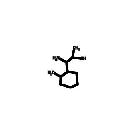 CC(O)N(N)C1CCCCN1C